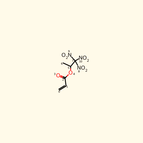 C=CC(=O)OC(C)C([N+](=O)[O-])([N+](=O)[O-])[N+](=O)[O-]